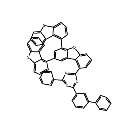 c1ccc(-c2cccc(-c3nc(-c4ccccc4)nc(-c4cccc5oc6c(-c7cccc8sc9ccccc9c78)cc(-c7cccc8sc9ccccc9c78)cc6c45)n3)c2)cc1